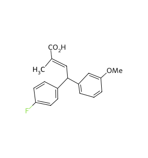 COc1cccc(C(/C=C(\C)C(=O)O)c2ccc(F)cc2)c1